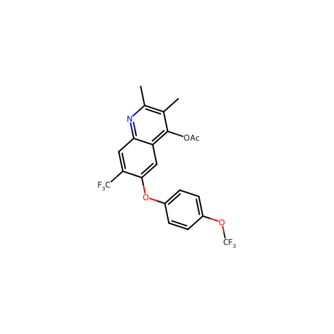 CC(=O)Oc1c(C)c(C)nc2cc(C(F)(F)F)c(Oc3ccc(OC(F)(F)F)cc3)cc12